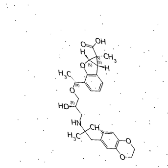 C[C@@H](OC[C@H](O)CNC(C)(C)Cc1ccc2c(c1)OCCO2)c1cccc2c1O[C@H]1[C@@H]2[C@]1(C)C(=O)O